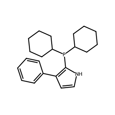 c1ccc(-c2cc[nH]c2P(C2CCCCC2)C2CCCCC2)cc1